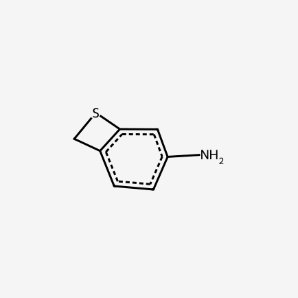 Nc1ccc2c(c1)SC2